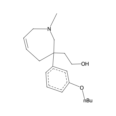 CCCCOc1cccc(C2(CCO)CC=CCN(C)C2)c1